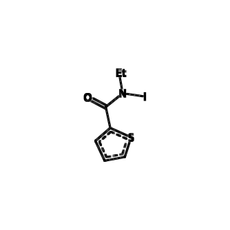 CCN(I)C(=O)c1cccs1